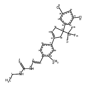 CCNC(=S)NN=Cc1ccc(C2=NCC(c3cc(Cl)cc(Cl)c3)(C(F)(F)F)C2)cc1C